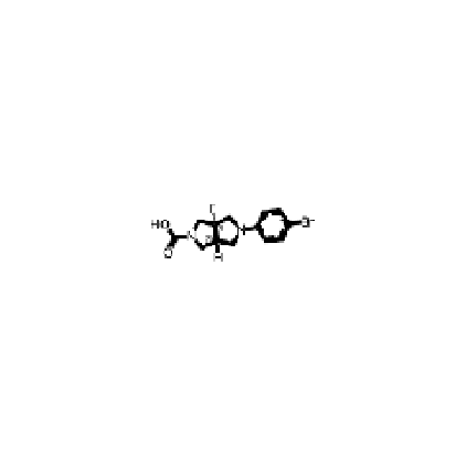 O=C(O)N1C[C@H]2CN(c3ccc(Br)cc3)C[C@]2(F)C1